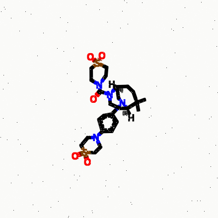 CC1(C)CC[C@@H]2CN(c3ccc(N4CCS(=O)(=O)CC4)cc3)[C@H]1CCN2C(=O)N1CCS(=O)(=O)CC1